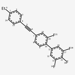 CCc1ccc(C#Cc2ccc(-c3cc(F)c(F)c(F)c3)c(F)c2)cc1